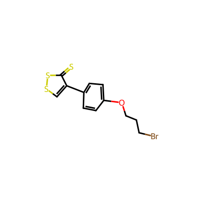 S=c1sscc1-c1ccc(OCCCBr)cc1